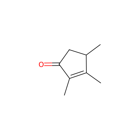 CC1=C(C)C(C)CC1=O